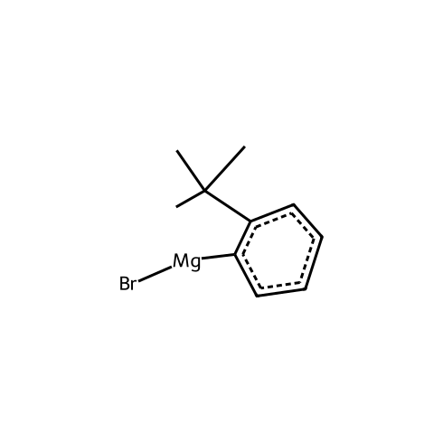 CC(C)(C)c1cccc[c]1[Mg][Br]